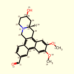 COc1cc2c3c(c4ccc(C=O)cc4c2cc1OC)CN1CC[C@@H](O)C[C@@H]1C3